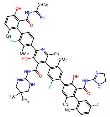 COc1cc(-c2cc(C#N)c(-c3cc(F)ccc3C#N)c(C(=O)NC3=NCCN3)c2O)c(F)cc1-c1c(C#N)nc(-c2ccc(-c3c(C#N)ccc(O)c3C(=O)NC(=N)NC(C)=O)c(F)c2OC)c(O)c1C(=O)NC1=NCC(C)(C)CN1